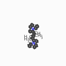 CC1(C)c2cc3c(cc2-c2c1cc(N(c1ccc4ccccc4c1)c1cccc4ccccc14)c1ccccc21)C(C)(C)c1cc(N(c2ccc4ccccc4c2)c2cccc4ccccc24)c2ccccc2c1-3